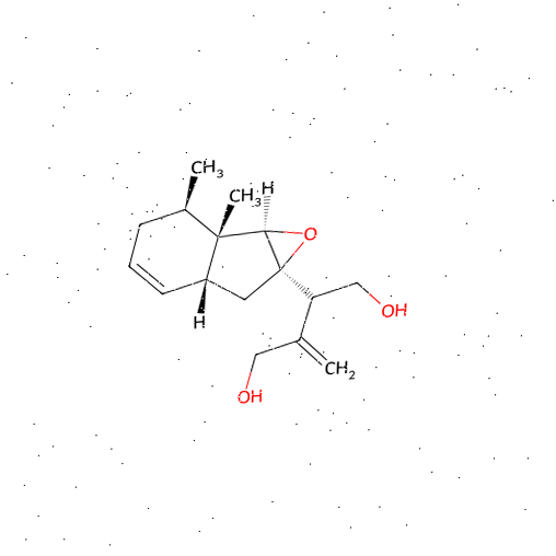 C=C(CO)C(CO)[C@]12C[C@@H]3C=CC[C@@H](C)[C@]3(C)[C@H]1O2